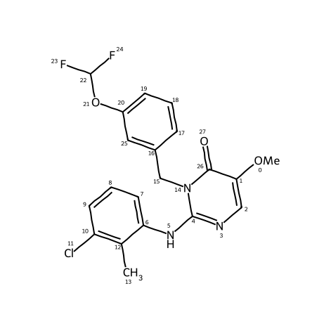 COc1cnc(Nc2cccc(Cl)c2C)n(Cc2cccc(OC(F)F)c2)c1=O